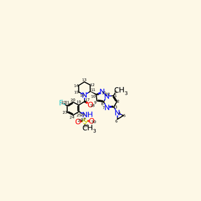 Cc1cc(N2CC2)nc2cc([C@@H]3CCCCN3C(=O)c3cc(F)ccc3NS(C)(=O)=O)nn12